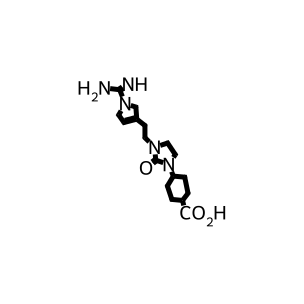 N=C(N)N1CC=C(CCN2CCN(C3CCC(C(=O)O)CC3)C2=O)C1